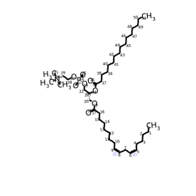 CCCCC/C=C\C/C=C\CCCCCCCC(=O)OC[C@H](COP(=O)([O-])OCC[N+](C)(C)C)OC(=O)CCCCCCCCCCCCCCC